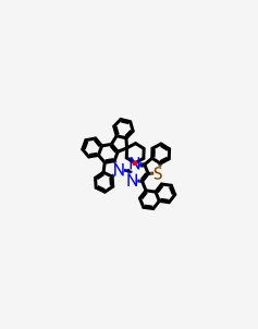 c1ccc2c(c1)-c1c(c3c(c4ccccc14)c1ccccc1n3-c1nc(-c3cccc4ccccc34)c3sc4ccccc4c3n1)C21CCCCC1